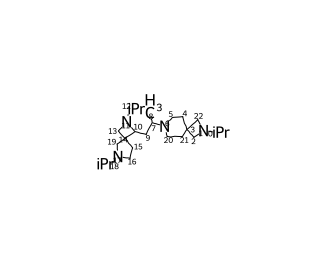 CC(C)N1CC2(CCN(C(C)CC3N(C(C)C)CC34CCN(C(C)C)C4)CC2)C1